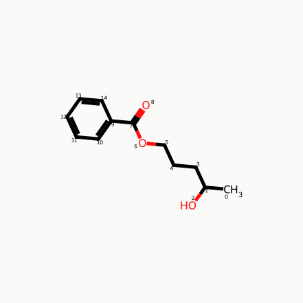 CC(O)CCCOC(=O)c1ccccc1